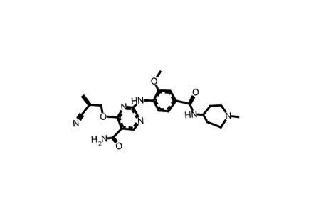 C=C(C#N)COc1nc(Nc2ccc(C(=O)NC3CCN(C)CC3)cc2OC)ncc1C(N)=O